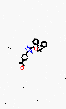 C=C(C=O)C1CCC(c2nnc(CO[Si](c3ccccc3)(c3ccccc3)C(C)(C)C)n2C)CC1